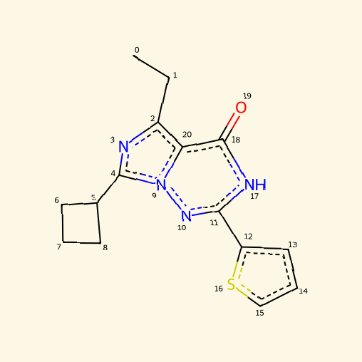 CCc1nc(C2CCC2)n2nc(-c3cccs3)[nH]c(=O)c12